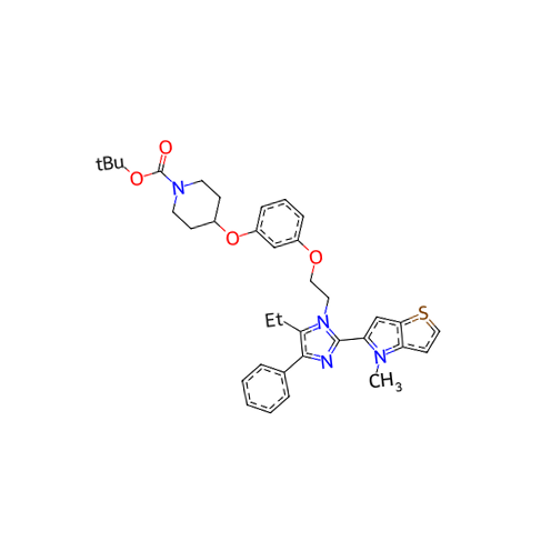 CCc1c(-c2ccccc2)nc(-c2cc3sccc3n2C)n1CCOc1cccc(OC2CCN(C(=O)OC(C)(C)C)CC2)c1